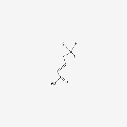 O=C(O)/C=C/CC(F)(F)F